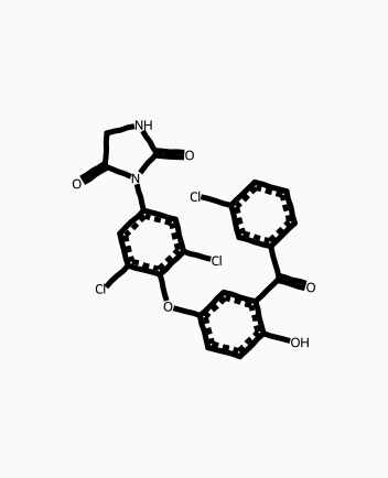 O=C(c1cccc(Cl)c1)c1cc(Oc2c(Cl)cc(N3C(=O)CNC3=O)cc2Cl)ccc1O